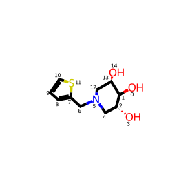 OC1[C@H](O)CN(Cc2cccs2)C[C@@H]1O